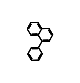 [c]1ccccc1-c1cccc2ccccc12